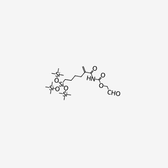 C=C(CCCC[Si](O[Si](C)(C)C)(O[Si](C)(C)C)O[Si](C)(C)C)C(=O)NC(=O)OCC=O